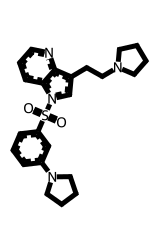 O=S(=O)(c1cccc(N2CCCC2)c1)n1cc(CCN2CCCC2)c2ncccc21